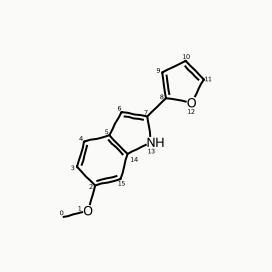 COc1ccc2cc(-c3ccco3)[nH]c2c1